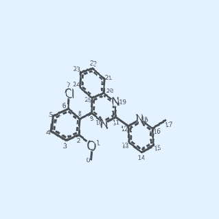 COc1cccc(Cl)c1-c1nc(-c2cccc(C)n2)nc2ccccc12